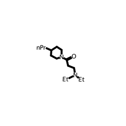 CCCC1CCN(C(=O)CCN(CC)CC)CC1